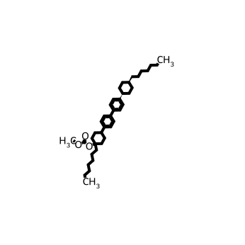 CCCCCCCC1(OC(=O)OC)CCC(c2ccc(-c3ccc([C@H]4CC[C@H](CCCCCCC)CC4)cc3)cc2)CC1